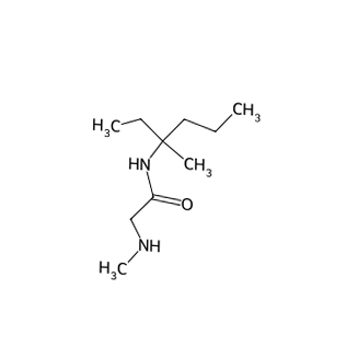 CCCC(C)(CC)NC(=O)CNC